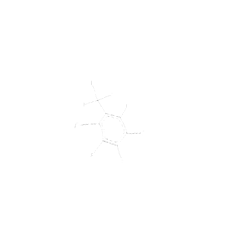 Fc1c(F)c(F)c(C(I)(I)I)c(F)c1F